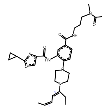 C/C=C\C=C(/CC)N1CCN(c2ccc(C(=O)NCCCN(C)C(C)=O)cc2NC(=O)c2coc(C3CC3)n2)CC1